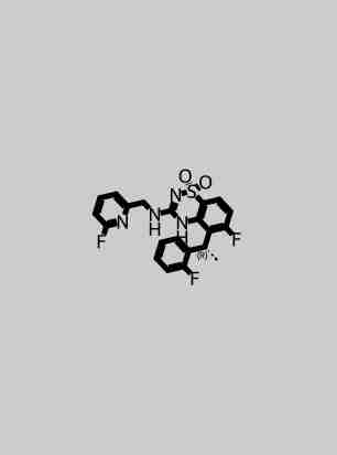 C[C@H](c1ccccc1F)c1c(F)ccc2c1NC(NCc1cccc(F)n1)=NS2(=O)=O